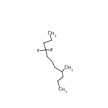 CCCC(C)CCCC(F)(F)CCC